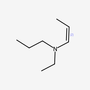 C/C=C\N(CC)CCC